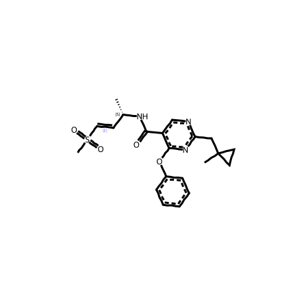 C[C@@H](/C=C/S(C)(=O)=O)NC(=O)c1cnc(CC2(C)CC2)nc1Oc1ccccc1